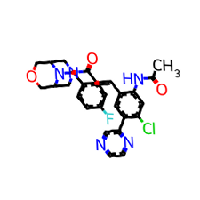 CC(=O)Nc1cc(Cl)c(-c2cnccn2)cc1C=CC(=O)N1CC2COCC(C1)N2Cc1ccc(F)cc1